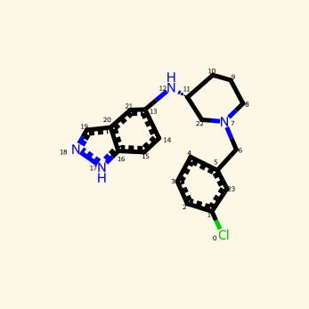 Clc1cccc(CN2CCC[C@@H](Nc3ccc4[nH]ncc4c3)C2)c1